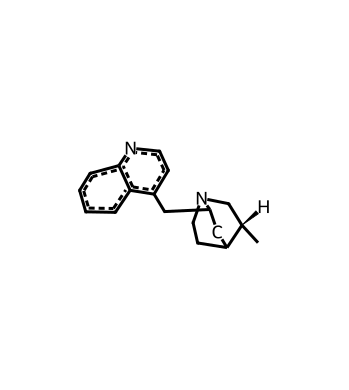 C[C@H]1CN2CCC1CC2Cc1ccnc2ccccc12